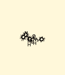 O=C(NCCc1ccccc1)c1cc(-c2cncc3ccccc23)c[nH]c1=O